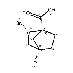 O=C(O)[C@@]12CC[C@@H](C[C@@H]1Br)C2